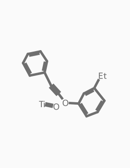 CCc1cccc(OC#Cc2ccccc2)c1.[O]=[Ti]